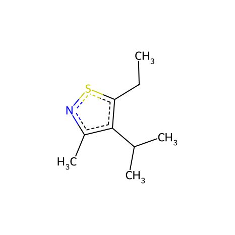 CCc1snc(C)c1C(C)C